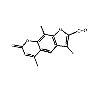 Cc1cc(=O)oc2c(C)c3oc(C=O)c(C)c3cc12